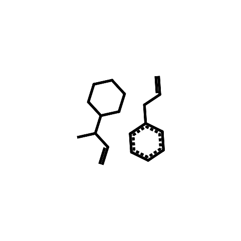 C=CC(C)C1CCCCC1.C=CCc1ccccc1